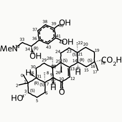 CC1(C)[C@@H](O)CC[C@]2(C)[C@H]3C(=O)C=C4[C@@H]5C[C@@](C)(C(=O)O)CC[C@]5(C)CC[C@@]4(C)[C@]3(C)CC[C@@H]12.CNC[C@H](O)c1ccc(O)c(O)c1